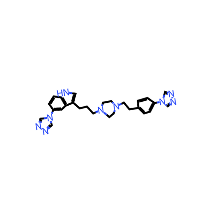 c1cc(-n2cnnc2)ccc1CCN1CCN(CCCc2c[nH]c3ccc(-n4cnnc4)cc23)CC1